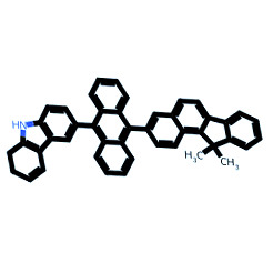 CC1(C)c2ccccc2-c2ccc3cc(-c4c5ccccc5c(-c5ccc6[nH]c7c(c6c5)C=CCC7)c5ccccc45)ccc3c21